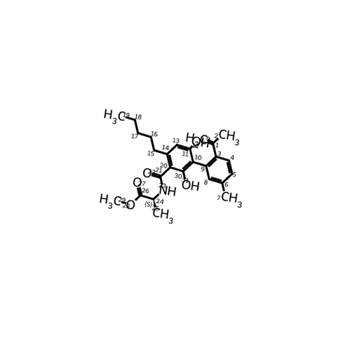 C=C(C)c1ccc(C)cc1-c1c(O)cc(CCCCC)c(C(=O)N[C@@H](C)C(=O)OC)c1O